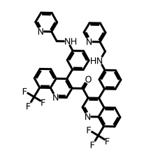 O=C(c1cnc2c(C(F)(F)F)cccc2c1-c1cccc(NCc2ccccn2)c1)c1cnc2c(C(F)(F)F)cccc2c1-c1cccc(NCc2ccccn2)c1